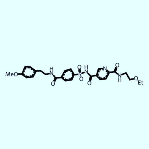 CCOCCNC(=O)c1ccc(C(=O)NS(=O)(=O)c2ccc(C(=O)NCCc3ccc(OC)cc3)cc2)cn1